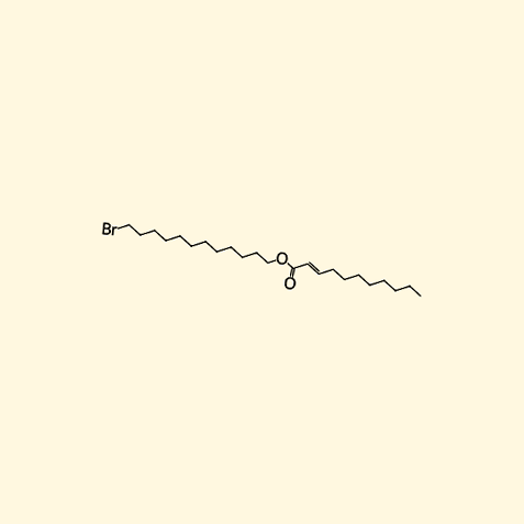 CCCCCCCC/C=C/C(=O)OCCCCCCCCCCCCBr